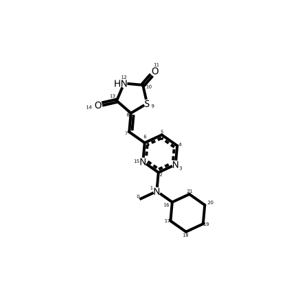 CN(c1nccc(/C=C2\SC(=O)NC2=O)n1)C1CCCCC1